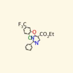 CCOC(=O)c1cnc(-c2ccccc2)nc1Oc1cc(C(F)(F)F)ccc1Cl